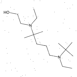 CCN(CCCC(C)(C)N(CC)CCO)C(C)(C)C